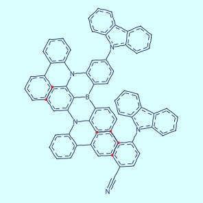 N#Cc1ccc(-n2c3ccccc3c3ccccc32)c(-c2ccc3c(c2)N(c2ccccc2-c2ccccc2)c2cccc4c2B3c2ccc(-n3c5ccccc5c5ccccc53)cc2N4c2ccccc2-c2ccccc2)c1